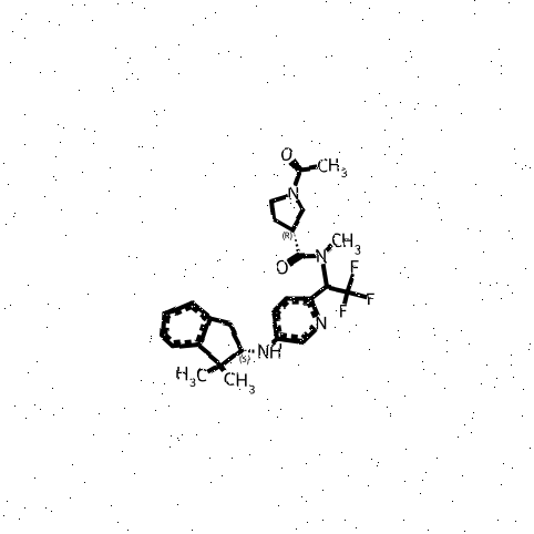 CC(=O)N1CC[C@@H](C(=O)N(C)C(c2ccc(N[C@H]3Cc4ccccc4C3(C)C)cn2)C(F)(F)F)C1